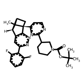 CC(C)(C)OC(=O)N1CCCC(c2nccc([C@@]34CC5[C@@H](c6cc(-c7c(F)cccc7F)nnc63)C54C)n2)C1